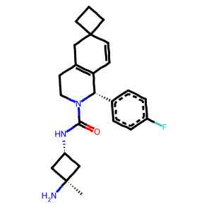 C[C@]1(N)C[C@H](NC(=O)N2CCC3=C(C=CC4(CCC4)C3)[C@@H]2c2ccc(F)cc2)C1